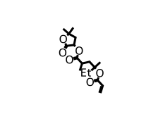 C=CC(=O)OC(C)(CC)CC(C)C(=O)OC1CC(C)(C)OC1=O